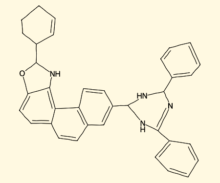 C1=CC(C2Nc3c(ccc4ccc5cc(C6NC(c7ccccc7)=NC(c7ccccc7)N6)ccc5c34)O2)CCC1